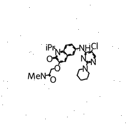 CNC(=O)COc1cc2cc(Nc3nc(N4CCCCC4)ncc3Cl)ccc2n(C(C)C)c1=O